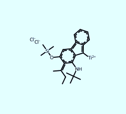 CCC(C)=c1c(O[Si](C)(C)C)cc2c(c1NC(C)(C)C)[C]([Ti+2])=c1ccccc1=2.[Cl-].[Cl-]